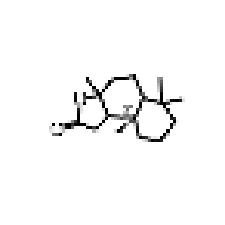 CC1(C)CCC[C@@]2(C)C1CCC1(C)OC(=O)CC12